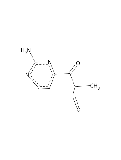 CC(C=O)C(=O)c1ccnc(N)n1